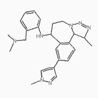 CC1N=NN2CCC(Nc3ccccc3CN(C)C)c3cc(-c4cnn(C)c4)ccc3C12